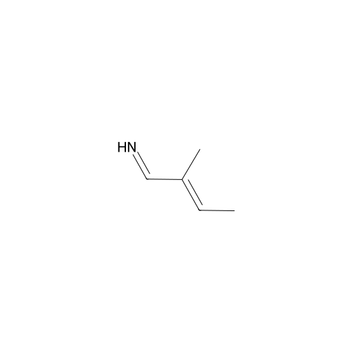 C/C=C(\C)C=N